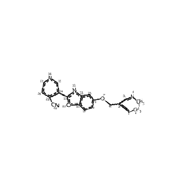 C/C=C(\C=N/C)COc1ccc2oc(-c3cnccc3C#N)nc2c1